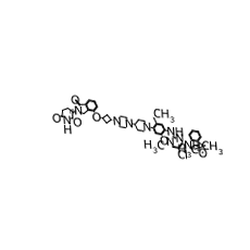 CCc1cc(Nc2ncc(Cl)c(Nc3ccccc3P(C)(C)=O)n2)c(OC)cc1N1CCC(N2CCN([C@H]3C[C@H](Oc4cccc5c4CN([C@@H]4CCC(=O)NC4=O)C5=O)C3)CC2)CC1